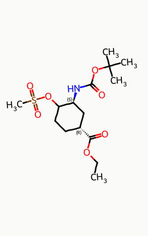 CCOC(=O)[C@@H]1CCC(OS(C)(=O)=O)[C@@H](NC(=O)OC(C)(C)C)C1